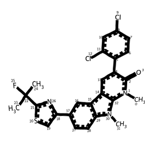 Cn1c(=O)c(-c2ccc(Cl)cc2Cl)cc2c3cc(-c4csc(C(C)(C)F)n4)ccc3n(C)c21